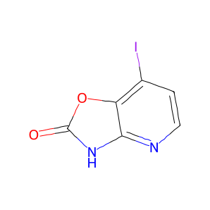 O=c1[nH]c2nccc(I)c2o1